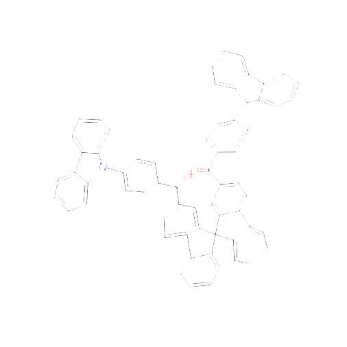 O=C(c1ccc(C2c3ccccc3-c3ccccc32)cc1)c1ccc2c(c1)C1(c3ccccc3-2)c2ccccc2-c2ccc(C(=O)c3ccc(-n4c5ccccc5c5ccccc54)cc3)cc21